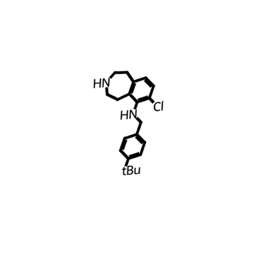 CC(C)(C)c1ccc(CNc2c(Cl)ccc3c2CCNCC3)cc1